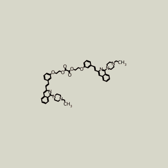 CCN1CCN(c2nc(C=Cc3cccc(OCCOC(=O)C(=O)OCCOc4cccc(C=Cc5cc6ccccc6c(N6CCN(CC)CC6)n5)c4)c3)cc3ccccc23)CC1